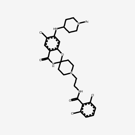 CC(=O)N1CCC(Nc2cc3c(cc2Cl)C(=O)NC2(CCN(CCNC(=O)c4c(Cl)cccc4Cl)CC2)O3)CC1